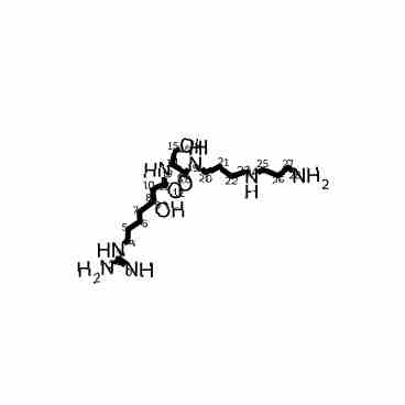 N=C(N)NCCCCC(O)CC(=O)NC(CO)C(=O)NCCCCNCCCN